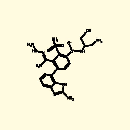 NCC(CO)N[S+]([O-])c1ccc(-c2cccc3nc(N)[nH]c23)c(/C(N)=N/NN)c1S(N)(=O)=O